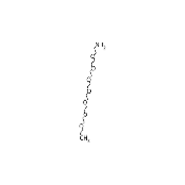 CCCOCCOCCOCCOCCOCCOCCOCCN